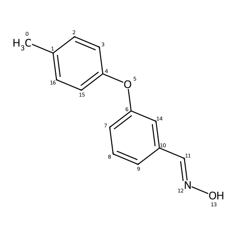 Cc1ccc(Oc2cccc(C=NO)c2)cc1